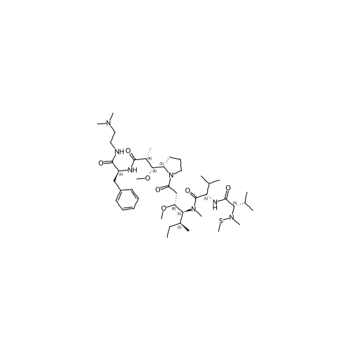 CC[C@H](C)[C@@H]([C@@H](CC(=O)N1CCC[C@H]1[C@H](OC)[C@@H](C)C(=O)N[C@@H](Cc1ccccc1)C(=O)NCCN(C)C)OC)N(C)C(=O)[C@@H](NC(=O)[C@H](C(C)C)N(C)SC)C(C)C